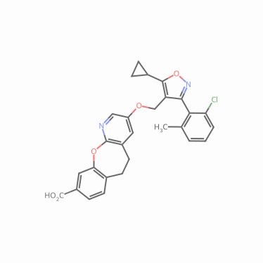 Cc1cccc(Cl)c1-c1noc(C2CC2)c1COc1cnc2c(c1)CCc1ccc(C(=O)O)cc1O2